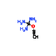 C#[Si]O[Si](N)(N)N